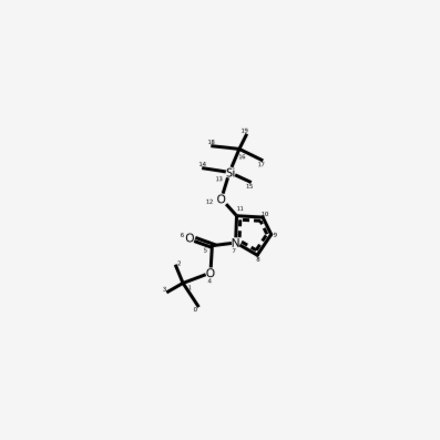 CC(C)(C)OC(=O)n1cccc1O[Si](C)(C)C(C)(C)C